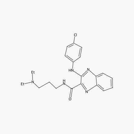 CCN(CC)CCCNC(=O)c1nc2ccccc2nc1Nc1ccc(Cl)cc1